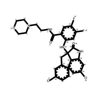 O=C(NCCN1CCOCC1)c1cc(F)c(F)cc1NC1(Cc2cccc(Cl)c2)C(=O)Nc2cc(Cl)ccc21